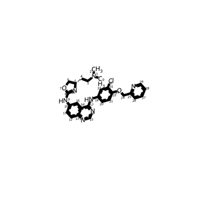 CN(C)CC[C@H]1COC(Nc2ccc3ncnc(Nc4ccc(OCc5ccccn5)c(Cl)c4)c3c2)=N1